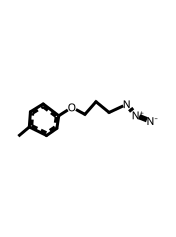 Cc1ccc(OCCCN=[N+]=[N-])cc1